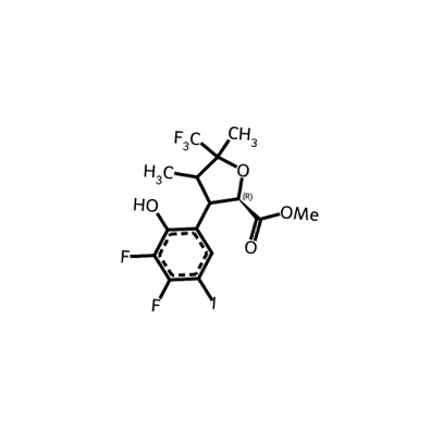 COC(=O)[C@@H]1OC(C)(C(F)(F)F)C(C)C1c1cc(I)c(F)c(F)c1O